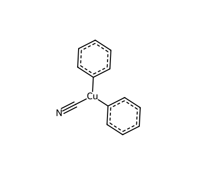 N#[C][Cu]([c]1ccccc1)[c]1ccccc1